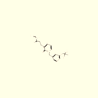 O=C(CCc1cccn(Cc2cccc(OC(F)(F)F)c2)c1=O)NO